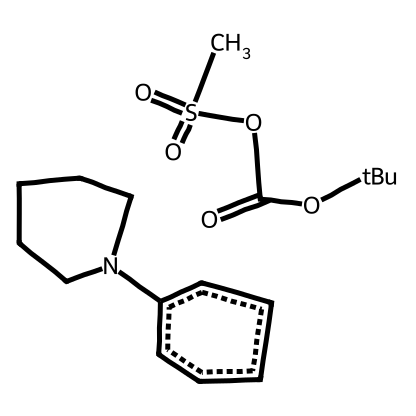 CC(C)(C)OC(=O)OS(C)(=O)=O.c1ccc(N2CCCCC2)cc1